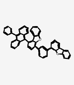 c1ccc(-c2c3ccccc3c(-c3ccc(-c4cccc(-c5cccc6c5oc5ccccc56)c4)c4oc5ccccc5c34)c3ccccc23)cc1